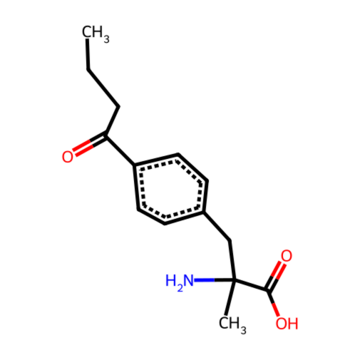 CCCC(=O)c1ccc(CC(C)(N)C(=O)O)cc1